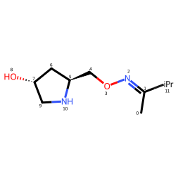 C/C(=N\OC[C@@H]1C[C@@H](O)CN1)C(C)C